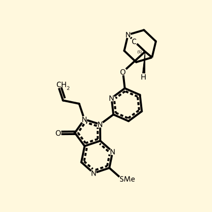 C=CCn1c(=O)c2cnc(SC)nc2n1-c1cccc(O[C@@H]2CN3CCC2CC3)n1